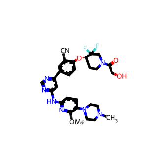 COc1nc(Nc2cc(-c3ccc(O[C@H]4CCN(C(=O)CO)CC4(F)F)c(C#N)c3)ncn2)ccc1N1CCN(C)CC1